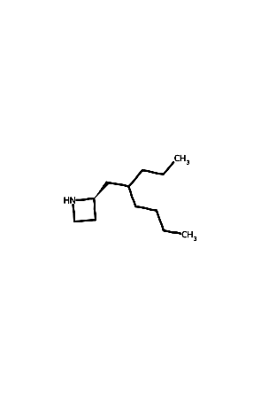 CCCCC(CCC)C[C@H]1CCN1